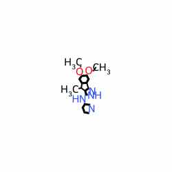 CCOc1cc2c(cc1OCC)C(C)c1c-2n[nH]c1Nc1cccnc1